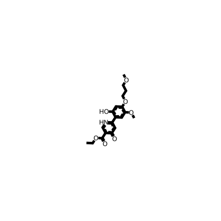 CCOC(=O)c1c[nH]c(-c2cc(OC)c(OCCCOC)cc2O)cc1=O